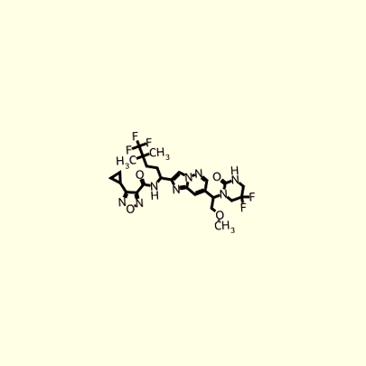 COCC(c1cnn2cc(C(CCC(C)(C)C(F)(F)F)NC(=O)c3nonc3C3CC3)nc2c1)N1CC(F)(F)CNC1=O